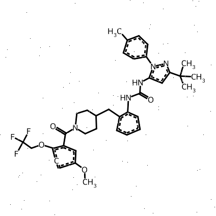 COc1ccc(OCC(F)(F)F)c(C(=O)N2CCC(Cc3ccccc3NC(=O)Nc3cc(C(C)(C)C)nn3-c3ccc(C)cc3)CC2)c1